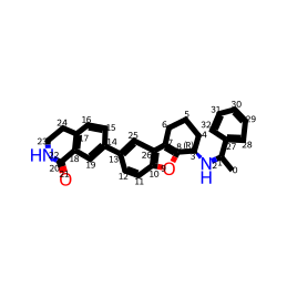 CC(N[C@@H]1CCCc2c1oc1ccc(-c3ccc4c(c3)C(=O)NCC4)cc21)c1ccccc1